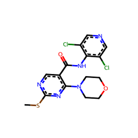 CSc1ncc(C(=O)Nc2c(Cl)cncc2Cl)c(N2CCOCC2)n1